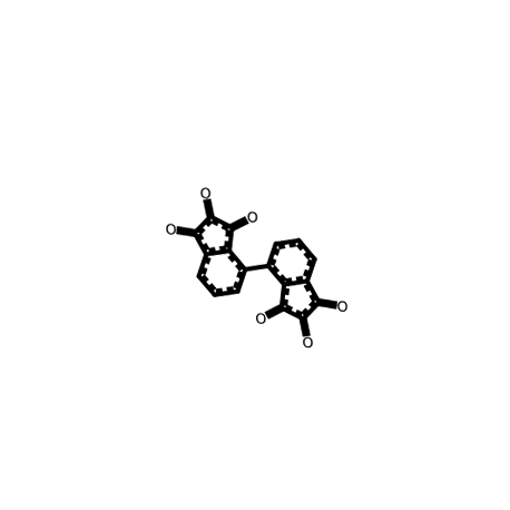 O=c1c(=O)c2cccc(-c3cccc4c(=O)c(=O)c(=O)c34)c2c1=O